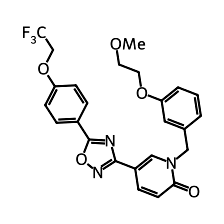 COCCOc1cccc(Cn2cc(-c3noc(-c4ccc(OCC(F)(F)F)cc4)n3)ccc2=O)c1